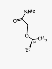 CC[C@H](C)OCC(=O)NC